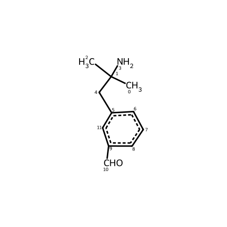 CC(C)(N)Cc1cccc(C=O)c1